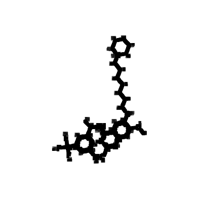 COc1cc2nc(C)nc(N[C@H](C)c3cc(N)cc(C(F)(F)F)c3)c2cc1OCCCCCCCN1CCCCC1